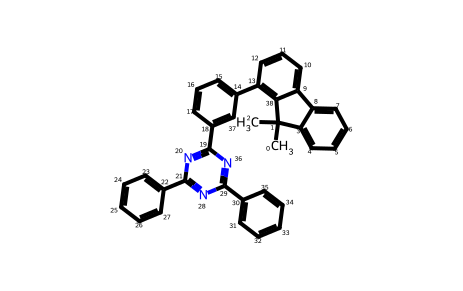 CC1(C)c2ccccc2-c2cccc(-c3cccc(-c4nc(-c5ccccc5)nc(-c5ccccc5)n4)c3)c21